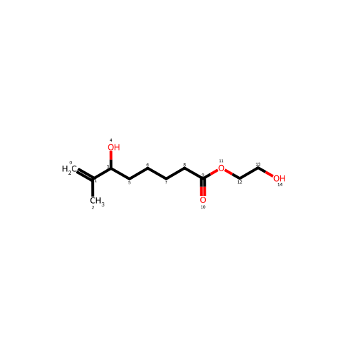 C=C(C)C(O)CCCCC(=O)OCCO